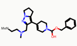 CNCCN(C)Cc1nn2c(c1C1=CCN(C(O)OCc3ccccc3)CC1)CCC2